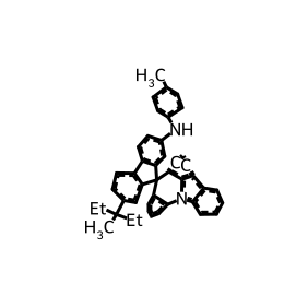 CCC(C)(CC)c1ccc2c(c1)C1(c3cc(Nc4ccc(C)cc4)ccc3-2)c2ccccc2-n2c3ccccc3c3cccc1c32